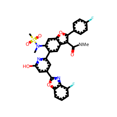 CNC(=O)c1c(-c2ccc(F)cc2)oc2cc(N(C)S(C)(=O)=O)c(-c3cc(-c4nc5c(F)cccc5o4)cc(O)n3)cc12